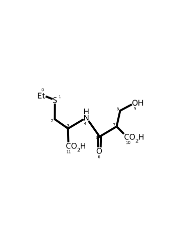 CCSCC(NC(=O)C(CO)C(=O)O)C(=O)O